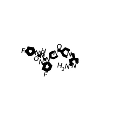 Nc1cc(CN2CCC(C(=O)N3CCC(n4c(NC(=O)Nc5ccc(F)cc5)nc5cc(F)ccc54)CC3)CC2)ccn1